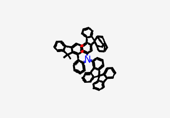 CC1(C)c2ccccc2-c2cccc(-c3ccccc3N(c3ccc4c(c3)C3(c5ccccc5-4)C4CC5CC(C4)CC3C5)c3cccc4c3-c3ccccc3C43c4ccccc4-c4ccccc43)c21